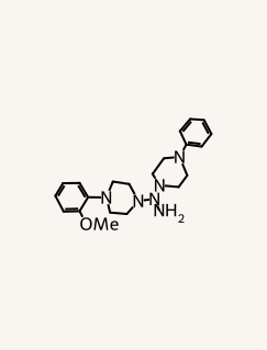 COc1ccccc1N1CCN(N(N)N2CCN(c3ccccc3)CC2)CC1